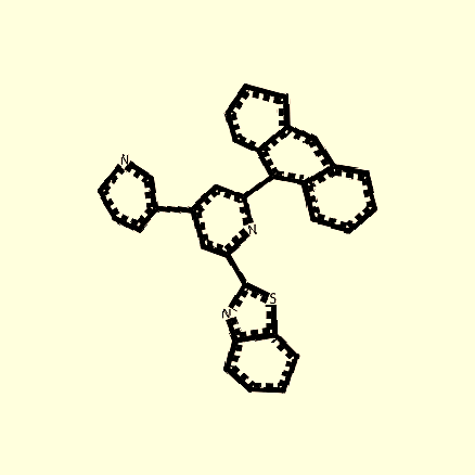 c1cncc(-c2cc(-c3nc4ccccc4s3)nc(-c3c4ccccc4cc4ccccc34)c2)c1